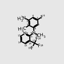 Cc1c(N)cc(F)cc1N(C)c1ncccc1C(F)(F)F